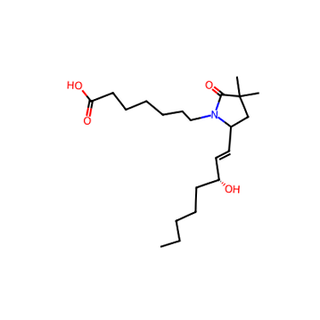 CCCCC[C@@H](O)/C=C/C1CC(C)(C)C(=O)N1CCCCCCC(=O)O